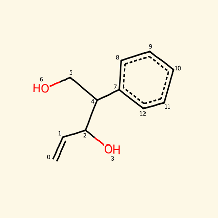 C=CC(O)C(CO)c1ccccc1